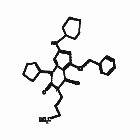 CCOC(=O)CCCn1c(=O)c2c(OCc3ccccc3)cc(NC3CCCCC3)cc2n(C2CCCC2)c1=O